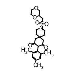 Cc1cc(C)c(C2C(=O)CC3(CCN(S(=O)(=O)CC4COCCO4)CC3)CC2=O)c(C)c1